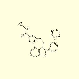 O=C(NC1CC1)c1cc2c(s1)-c1ccccc1N(C(=O)c1cccc(-c3cccnc3)n1)CC2